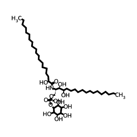 CCCCCCCCCCCCCCCCCCC(O)C(=O)N[C@@H](COP(=O)(O)OC1C(O)C(O)C(O)[C@@H](O)C1O)[C@H](O)[C@H](O)CCCCCCCCCCCCCC